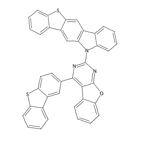 c1ccc2c(c1)oc1nc(-n3c4ccccc4c4cc5sc6ccccc6c5cc43)nc(-c3ccc4sc5ccccc5c4c3)c12